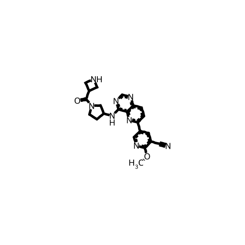 COc1ncc(-c2ccc3ncnc(NC4CCN(C(=O)C5CNC5)C4)c3n2)cc1C#N